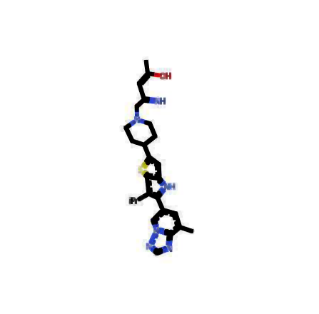 C/C(O)=C/C(=N)CN1CCC(c2cc3[nH]c(-c4cc(C)c5ncnn5c4)c(C(C)C)c3s2)CC1